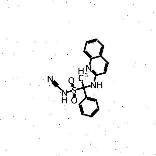 CC(Nc1ccc2ccccc2n1)(c1ccccc1)S(=O)(=O)NC#N